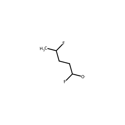 CC(F)CCC([O])F